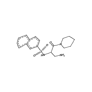 NCC(NS(=O)(=O)c1ccc2ccccc2c1)C(=O)N1CCCCC1